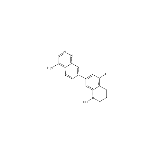 Nc1cnnc2cc(-c3cc(F)c4c(c3)B(O)CCC4)ccc12